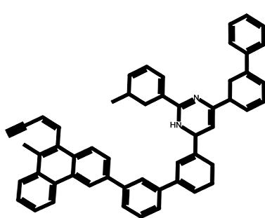 C#C/C=C\c1c(C)c2ccccc2c2cc(-c3cccc(C4=CCCC(C5C=C(C6C=CC=C(c7ccccc7)C6)N=C(C6=CC=CC(C)C6)N5)=C4)c3)ccc12